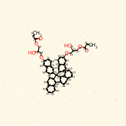 C=CC(=O)OCC(O)COc1ccc2cc(C3(c4ccc5cc(OCC(O)COC(=O)C=C)ccc5c4)c4ccc5ccccc5c4-c4ccc5ccccc5c43)ccc2c1